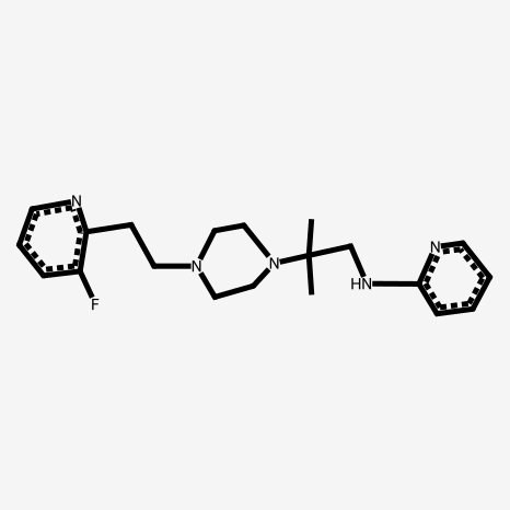 CC(C)(CNc1ccccn1)N1CCN(CCc2ncccc2F)CC1